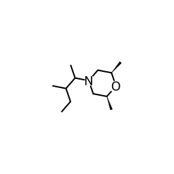 CCC(C)C(C)N1C[C@@H](C)O[C@@H](C)C1